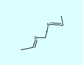 C/C=N/C/N=C/C